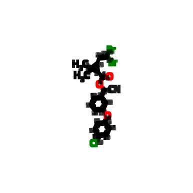 CC1(C)[C@H](C(=O)O[C@@H](C#N)c2cccc(Oc3ccc(Cl)cc3)c2)[C@@H]1C=C(Br)Br